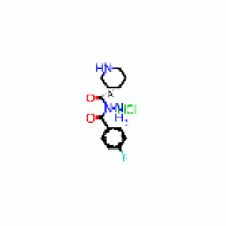 Cl.NN(C(=O)c1ccc(F)cc1)C(=O)[C@H]1CCCNC1